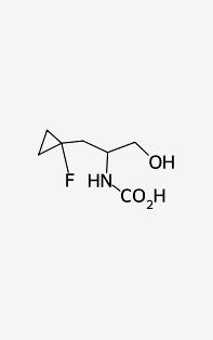 O=C(O)NC(CO)CC1(F)CC1